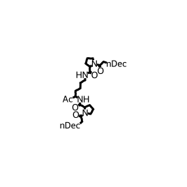 CCCCCCCCCCCC(=O)N1CCCC1C(=O)NCCCCC(NC(=O)C1CCCN1C(=O)CCCCCCCCCCC)C(C)=O